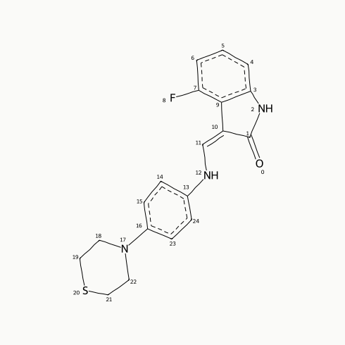 O=C1Nc2cccc(F)c2C1=CNc1ccc(N2CCSCC2)cc1